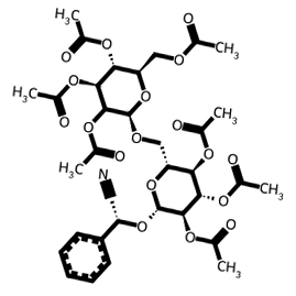 CC(=O)OC[C@H]1O[C@@H](OC[C@H]2O[C@@H](O[C@@H](C#N)c3ccccc3)[C@H](OC(C)=O)[C@@H](OC(C)=O)[C@@H]2OC(C)=O)C(OC(C)=O)[C@@H](OC(C)=O)[C@@H]1OC(C)=O